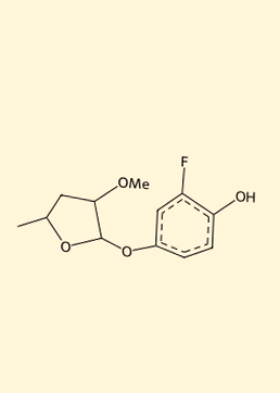 COC1CC(C)OC1Oc1ccc(O)c(F)c1